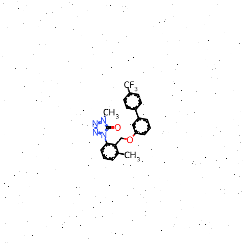 Cc1cccc(-n2nnn(C)c2=O)c1COc1cccc(-c2ccc(C(F)(F)F)cc2)c1